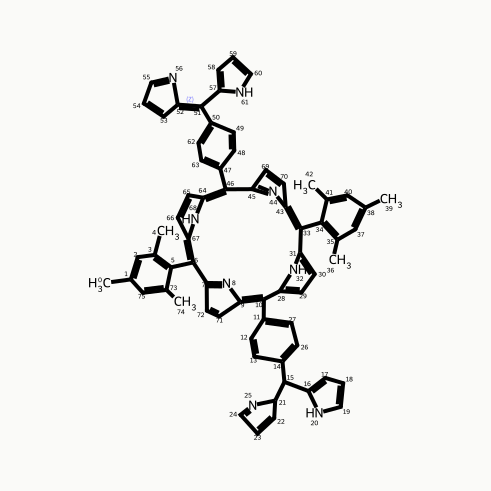 Cc1cc(C)c(-c2c3nc(c(-c4ccc(C(c5ccc[nH]5)C5C=CC=N5)cc4)c4ccc([nH]4)c(-c4c(C)cc(C)cc4C)c4nc(c(-c5ccc(/C(=C6\C=CC=N6)c6ccc[nH]6)cc5)c5ccc2[nH]5)C=C4)C=C3)c(C)c1